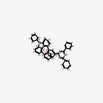 c1ccc(-c2nc(-c3ccccc3)nc(-c3cccc(-c4cccc5c4c4c(-c6ccccc6)cccc4n5-c4ccccc4)c3)n2)cc1